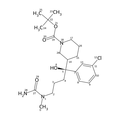 CN(CCC[C@@](O)(c1cccc(Cl)c1)C1CCCN(C(=O)OC(C)(C)C)C1)C(N)=O